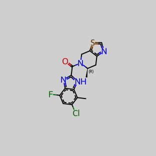 Cc1c(Cl)cc(F)c2nc(C(=O)N3Cc4scnc4C[C@H]3C)[nH]c12